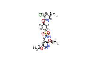 COc1cc(CNS(=O)(=O)c2ccc(Oc3ncc(C)cc3Cl)cc2)c(OC)nn1